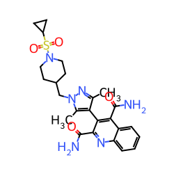 Cc1nn(CC2CCN(S(=O)(=O)C3CC3)CC2)c(C)c1-c1c(C(N)=O)nc2ccccc2c1C(N)=O